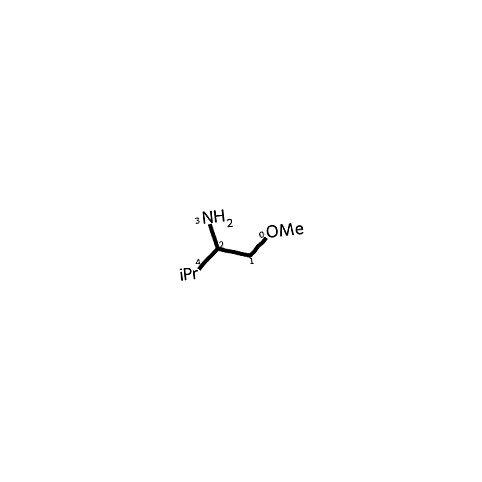 [CH2-][OH+]CC(N)C(C)C